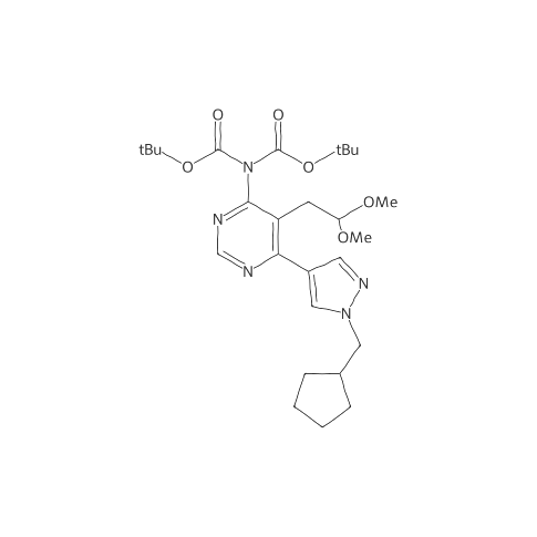 COC(Cc1c(-c2cnn(CC3CCCC3)c2)ncnc1N(C(=O)OC(C)(C)C)C(=O)OC(C)(C)C)OC